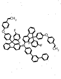 C=Cc1ccc(Oc2ccc(C3(c4cc(F)ccc4F)c4ccccc4-c4ccc(N(c5ccc(-c6cccc(-c7ccccc7)c6)cc5)c5ccc6c(c5)C(c5ccc(Oc7ccc(C=C)cc7)cc5)(c5cc(F)ccc5F)c5ccccc5-6)cc43)cc2)cc1